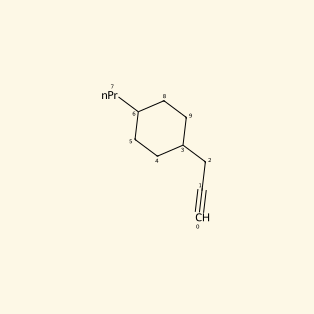 C#CCC1CCC(CC[CH2])CC1